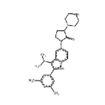 Cc1cc(-c2[nH]c3ccc(N4CCC(N5CCNCC5)C4=O)cc3c2C(C)C)cc(C)n1